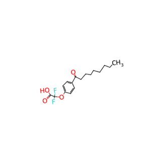 CCCCCCCCC(=O)c1ccc(OC(F)(F)C(=O)O)cc1